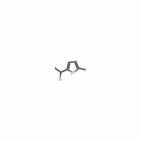 Cc1ccc(C(C)Br)s1